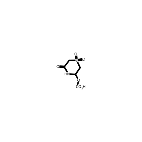 O=C1CS(=O)(=O)CC(OC(=O)O)N1